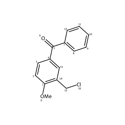 COc1ccc(C(=O)c2ccccc2)cc1CCl